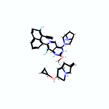 C#Cc1c(F)ccc2cccc(-c3ncc4c(N5CC6CCC(C5)N6)nc(OC[C@]56CC(=C)CN5C[C@H](OC5CC5)C6)nc4c3F)c12